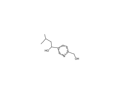 CC(C)CC(O)c1ccc(CO)nc1